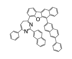 C1=C(c2ccccc2)N=C(c2ccc3ccccc3c2)N=C(c2cccc3c2oc2c(-c4ccc5cc(-c6ccccc6)ccc5c4)c4ccccc4cc23)C1